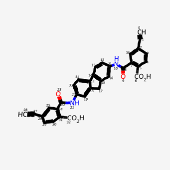 C#Cc1ccc(C(=O)O)c(C(=O)Nc2ccc3c(c2)Cc2cc(NC(=O)c4cc(C#C)ccc4C(=O)O)ccc2-3)c1